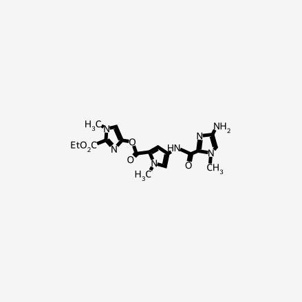 CCOC(=O)c1nc(OC(=O)c2cc(NC(=O)c3nc(N)cn3C)cn2C)cn1C